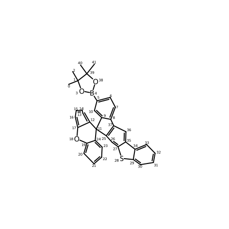 CC1(C)OB(c2ccc3c(c2)C2(c4ccccc4Oc4ccccc42)c2cc4sc5ccccc5c4cc2-3)OC1(C)C